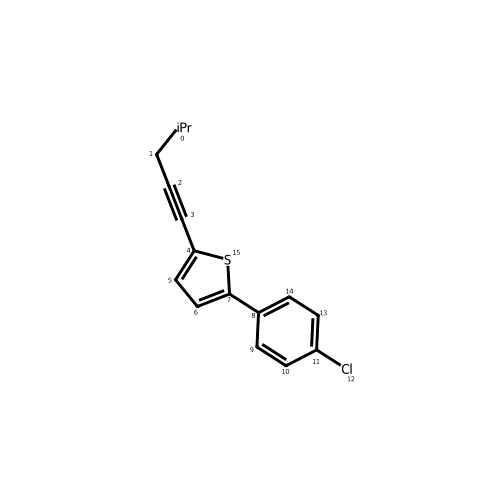 CC(C)CC#Cc1ccc(-c2ccc(Cl)cc2)s1